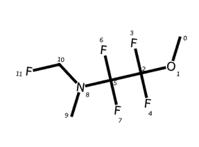 COC(F)(F)C(F)(F)N(C)CF